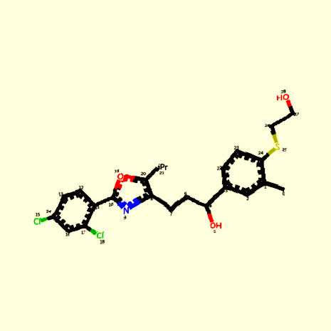 Cc1cc(C(O)CCc2nc(-c3ccc(Cl)cc3Cl)oc2C(C)C)ccc1SCCO